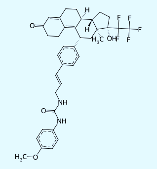 COc1ccc(NC(=O)NC/C=C/c2ccc([C@H]3C[C@@]4(C)[C@@H](CC[C@@]4(O)C(F)(F)C(F)(F)F)[C@@H]4CCC5=CC(=O)CCC5=C43)cc2)cc1